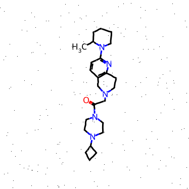 CC1CCCCN1c1ccc2c(n1)CCN(CC(=O)N1CCN(C3CCC3)CC1)C2